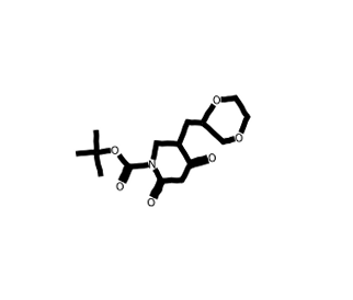 CC(C)(C)OC(=O)N1CC(CC2COCCO2)C(=O)CC1=O